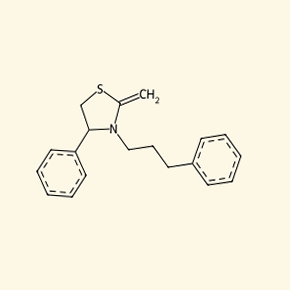 C=C1SCC(c2ccccc2)N1CCCc1ccccc1